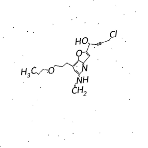 C=CNc1cc(CCCOCCC)c2oc(C(O)C#CCCl)cc2n1